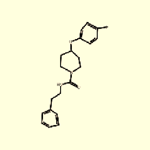 O=C(NCCc1ccccc1)N1CCC(Oc2ccc(F)cc2)CC1